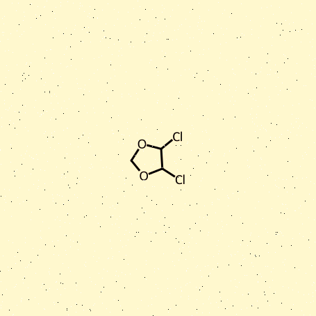 ClC1OCOC1Cl